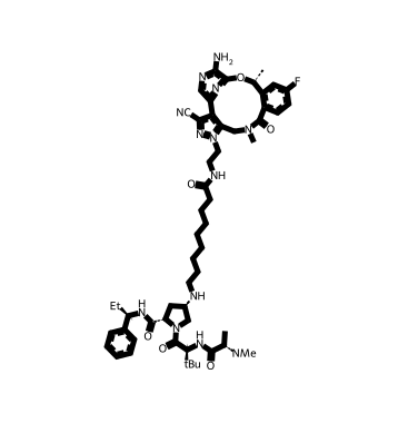 CC[C@@H](NC(=O)[C@@H]1C[C@H](NCCCCCCCCC(=O)NCCn2nc(C#N)c3c2CN(C)C(=O)c2ccc(F)cc2[C@@H](C)Oc2nc-3cnc2N)CN1C(=O)[C@@H](NC(=O)[C@H](C)NC)C(C)(C)C)c1ccccc1